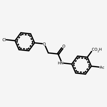 CC(=O)c1ccc(NC(=O)COc2ccc(Cl)cc2)cc1C(=O)O